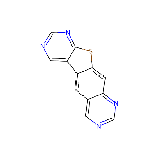 c1ncc2cc3c(cc2n1)sc1ncncc13